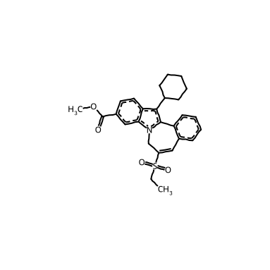 CCS(=O)(=O)C1=Cc2ccccc2-c2c(C3CCCCC3)c3ccc(C(=O)OC)cc3n2C1